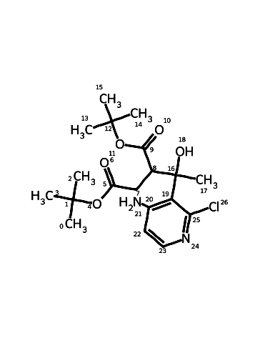 CC(C)(C)OC(=O)CC(C(=O)OC(C)(C)C)C(C)(O)c1c(N)ccnc1Cl